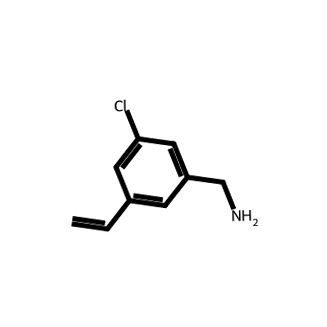 C=Cc1cc(Cl)cc(CN)c1